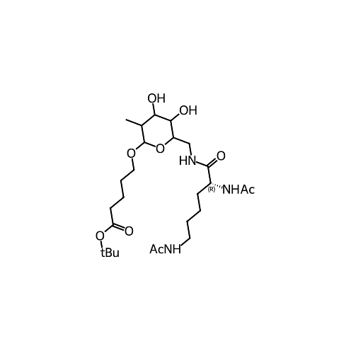 CC(=O)NCCCC[C@@H](NC(C)=O)C(=O)NCC1OC(OCCCCC(=O)OC(C)(C)C)C(C)C(O)C1O